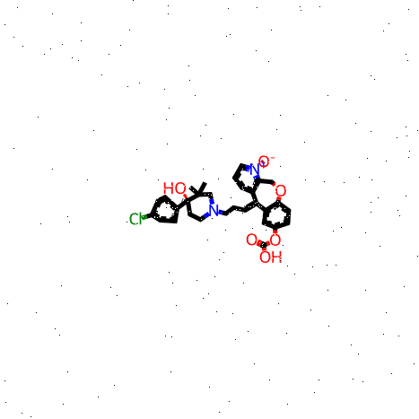 CC1(C)CN(CCC=C2c3cc(OC(=O)O)ccc3OCc3c2ccc[n+]3[O-])CC[C@]1(O)c1ccc(Cl)cc1